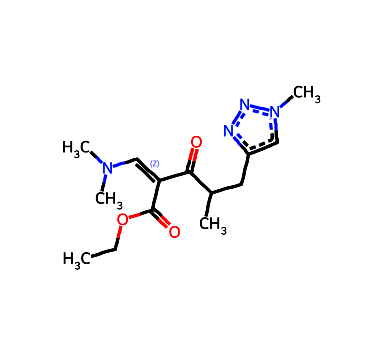 CCOC(=O)/C(=C\N(C)C)C(=O)C(C)Cc1cn(C)nn1